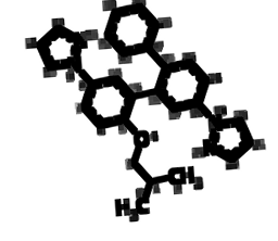 CC(C)COc1ccc(-n2cccn2)cc1-c1cc(-n2cccn2)ccc1-c1ccccc1